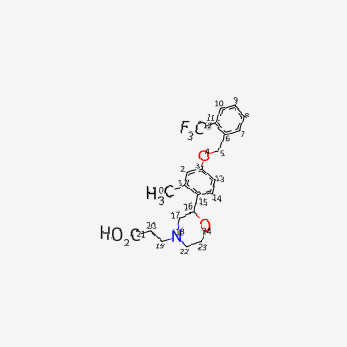 Cc1cc(OCc2ccccc2C(F)(F)F)ccc1C1CN(CCC(=O)O)CCO1